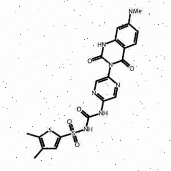 CNc1ccc2c(=O)n(-c3cnc(NC(=O)NS(=O)(=O)c4cc(C)c(C)s4)cn3)c(=O)[nH]c2c1